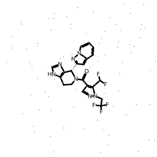 O=C(c1cnn(CC(F)(F)F)c1C(F)F)N1CCc2[nH]cnc2[C@@H]1c1cc2ccccn2n1